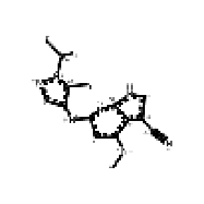 CNc1cc(Nc2cnn(C(C)C)c2C)nc2[nH]cc(C#N)c12